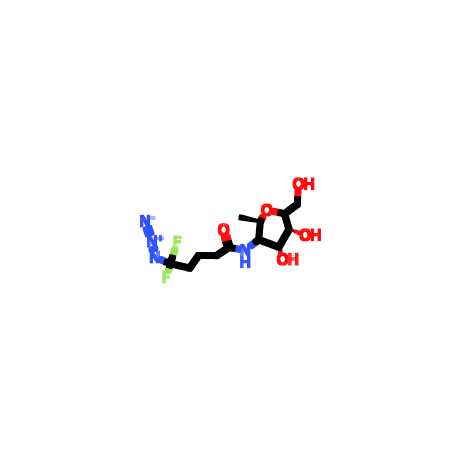 C[C@H]1OC(CO)[C@H](O)[C@H](O)C1NC(=O)CCCC(F)(F)N=[N+]=[N-]